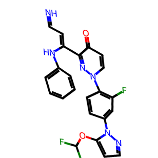 N=C/C=C(\Nc1ccccc1)c1nn(-c2ccc(-n3nccc3OC(F)F)cc2F)ccc1=O